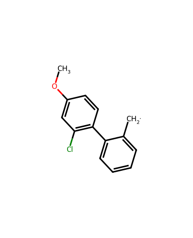 [CH2]c1ccccc1-c1ccc(OC)cc1Cl